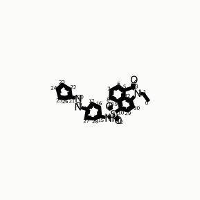 CCN1C(=O)c2cccc3c(S(=O)(=O)Nc4ccc(N=Nc5ccccc5)cc4)ccc1c23